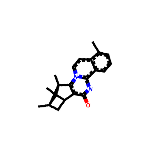 Cc1cccc2c1ccn1c3c(c(=O)nc21)C1CC2(C)C3(C)C12C